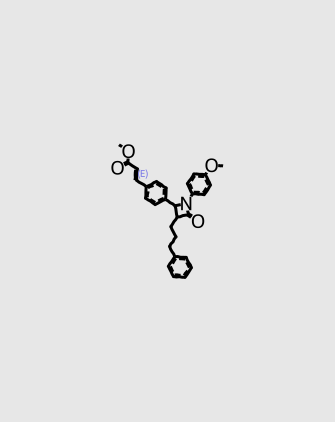 COC(=O)/C=C/c1ccc(C2C(CCCc3ccccc3)C(=O)N2c2ccc(OC)cc2)cc1